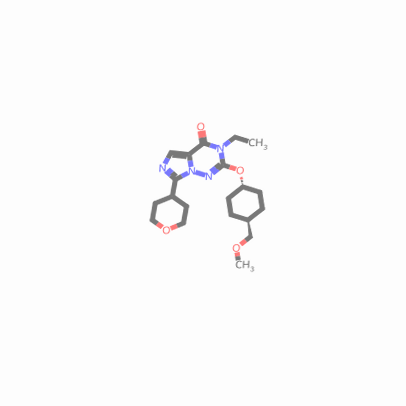 CCn1c(O[C@H]2CC[C@H](COC)CC2)nn2c(C3CCOCC3)ncc2c1=O